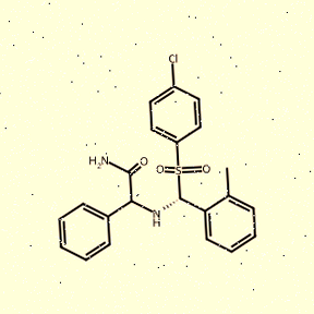 Cc1ccccc1[C@H](NC(C(N)=O)c1ccccc1)S(=O)(=O)c1ccc(Cl)cc1